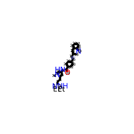 CC/N=C(/CCc1cc(NC(=O)c2ccc(/C=C/c3cnc4ccccc4c3)cc2)cn1C)NCC